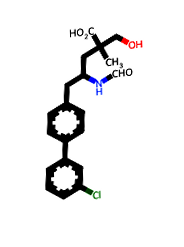 CC(CO)(CC(Cc1ccc(-c2cccc(Cl)c2)cc1)NC=O)C(=O)O